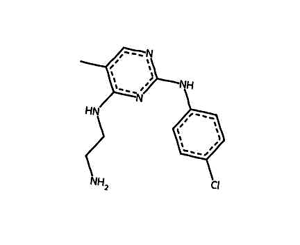 Cc1cnc(Nc2ccc(Cl)cc2)nc1NCCN